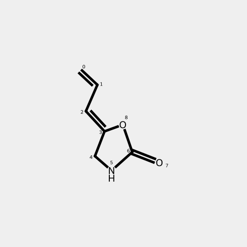 C=CC=C1CNC(=O)O1